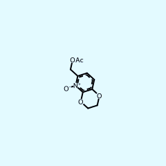 CC(=O)OCc1ccc2c([n+]1[O-])OCCO2